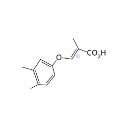 C/C(=C\Oc1ccc(C)c(C)c1)C(=O)O